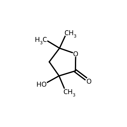 CC1(C)CC(C)(O)C(=O)O1